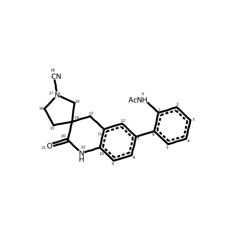 CC(=O)Nc1ccccc1-c1ccc2c(c1)CC1(CCN(C#N)C1)C(=O)N2